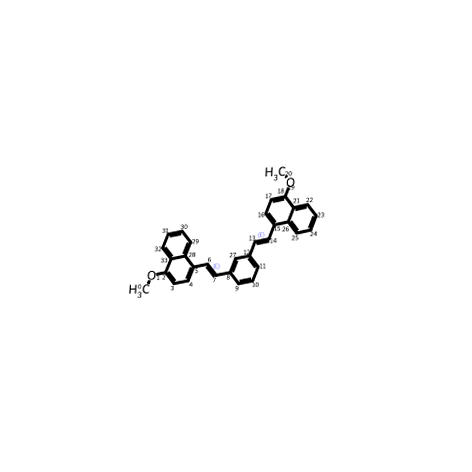 COc1ccc(/C=C/c2cccc(/C=C/c3ccc(OC)c4ccccc34)c2)c2ccccc12